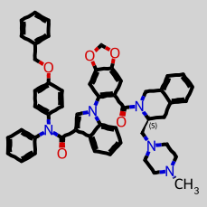 CN1CCN(C[C@@H]2Cc3ccccc3CN2C(=O)c2cc3c(cc2-n2cc(C(=O)N(c4ccccc4)c4ccc(OCc5ccccc5)cc4)c4ccccc42)OCO3)CC1